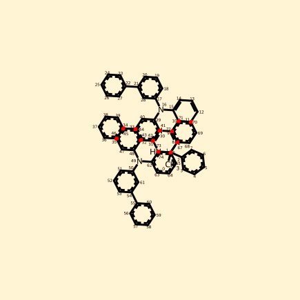 CC1(c2ccccc2)N=C(C2CC=CC=C2N(c2cccc(-c3ccccc3)c2)c2cccc(-c3ccccc3)c2)N=C(c2ccccc2N(c2cccc(-c3ccccc3)c2)c2cccc(-c3ccccc3)c2)N1